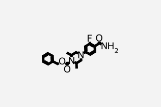 CC1CN(c2ccc(C(N)=O)c(F)c2)CC(C)N1C(=O)OCc1ccccc1